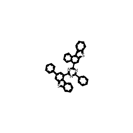 c1ccc(-c2cc(-c3nc(-c4ccccc4)nc(-c4cc5sc6ccccc6c5c5ccccc45)n3)c3c(c2)sc2ccccc23)cc1